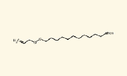 C=CCOOCCCCCCCCCCCCCCCCCCCC